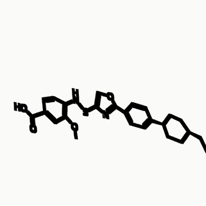 CC[C@H]1CC[C@@H](c2ccc(-c3nc(SNc4ccc(C(=O)O)cc4OC)co3)cc2)CC1